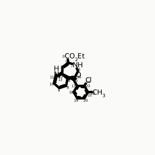 CCOC(=O)C1=CC23C(=CCN1)C=CC=C2NCC3C(=O)c1cccc(C)c1Cl